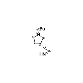 CC(C)(C)N1CC[C@@H](C2CN2)C1